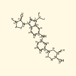 CC(C)n1nc(N2CCN(C)C2=O)c2cnc(Nc3ccnc(N4CC[C@H](O)[C@H](F)C4)n3)cc21